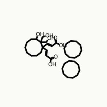 C1CCCCCCCCC1.C1CCCCCCCCC1.O=C(O)C=CC1(C=CC(=O)O)CCCCCCCC(O)C1(CO)CO